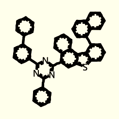 c1ccc(-c2cccc(-c3nc(-c4ccccc4)nc(-c4cc5sc6cccc(-c7cccc8ccccc78)c6c5c5ccccc45)n3)c2)cc1